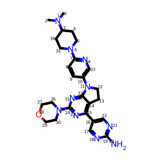 CN(C)C1CCN(c2ccc(N3CCc4c(-c5cnc(N)nc5)nc(N5CCOCC5)nc43)cn2)CC1